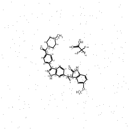 COc1ccc2c(c1)[C@]1(C[C@H]1c1ccc3c(-c4ccc(C(=O)N5CCN(C)CC5)cc4)n[nH]c3c1)C(=O)N2.O=C(O)C(F)(F)F